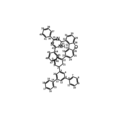 C1=CC(c2cc(-c3ccccc3)cc(-c3ccccc3)c2)CC(c2ccc3oc4cccc(C5N=C(c6ccccc6)N=C(c6ccccc6)N5)c4c3c2)=C1